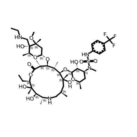 CCNC[C@]1(O)[C@H](C)O[C@@H](O[C@H]2[C@H](C)[C@@H](O[C@@H]3O[C@H](C)C[C@H](N(C)S(=O)(=O)Nc4ccc(C(F)(F)F)cc4)[C@H]3O)[C@](C)(O)C[C@@H](C)CN[C@H](C)[C@@H](O)[C@](C)(O)[C@@H](CC)OC(=O)[C@@H]2C)C[C@@]1(C)OC